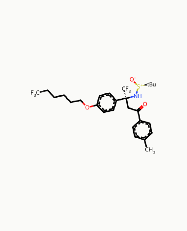 Cc1ccc(C(=O)C[C@](N[S@@+]([O-])C(C)(C)C)(c2ccc(OCCCCCC(F)(F)F)cc2)C(F)(F)F)cc1